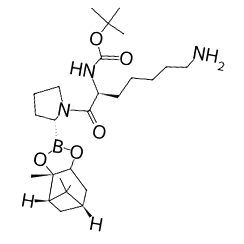 CC(C)(C)OC(=O)N[C@@H](CCCCCN)C(=O)N1CCC[C@H]1B1OC2C[C@@H]3C[C@@H](C3(C)C)[C@]2(C)O1